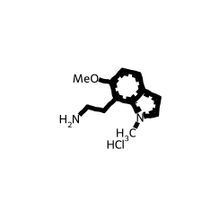 COc1ccc2ccn(C)c2c1CCN.Cl